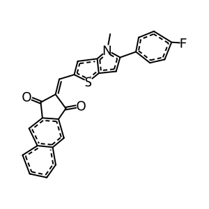 Cn1c(-c2ccc(F)cc2)cc2sc(C=C3C(=O)c4cc5ccccc5cc4C3=O)cc21